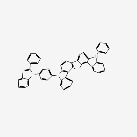 c1ccc(-c2nc3ccccc3n2-c2ccc(-n3c4ccccc4c4c5oc6c(ccc7c6c6ccccc6n7-c6ccccc6)c5ccc43)cc2)cc1